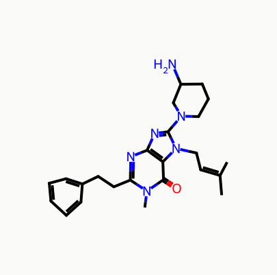 CC(C)=CCn1c(N2CCCC(N)C2)nc2nc(CCc3ccccc3)n(C)c(=O)c21